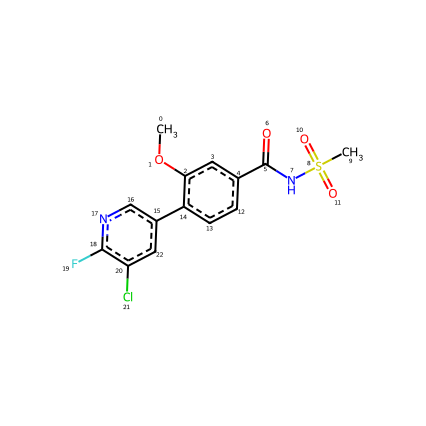 COc1cc(C(=O)NS(C)(=O)=O)ccc1-c1cnc(F)c(Cl)c1